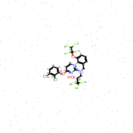 O[C@H](CN(Cc1cccc(OC(F)(F)C(F)F)c1)c1nccc(Oc2cccc(Cl)c2Cl)n1)C(F)(F)F